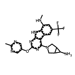 CNc1cc(C(F)(F)F)cc2c1[nH]c1nc(Oc3cnc(C)nc3)nc(N3CC4C(N)C4C3)c12